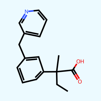 CCC(C)(C(=O)O)c1cccc(Cc2cccnc2)c1